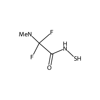 CNC(F)(F)C(=O)NS